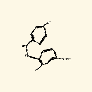 COc1ccc(NC(C)c2ccc(Cl)cc2)c(F)c1